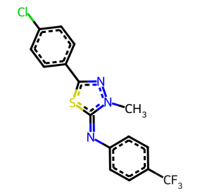 Cn1nc(-c2ccc(Cl)cc2)s/c1=N/c1ccc(C(F)(F)F)cc1